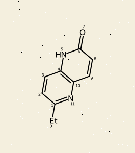 CCc1ccc2[nH]c(=O)ccc2n1